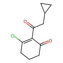 O=C1CCCC(Cl)=C1C(=O)CC1CC1